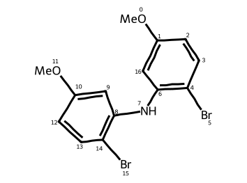 COc1ccc(Br)c(Nc2cc(OC)ccc2Br)c1